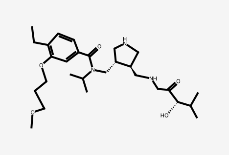 CCc1ccc(C(=O)N(C[C@@H]2CNC[C@H]2CNCC(=O)[C@@H](O)C(C)C)C(C)C)cc1OCCCOC